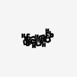 CC1C[C@@]2(C)[C@@H](CC[C@@H]3[C@@H]2CC[C@]2(C)C(=O)CC[C@@H]32)CC12OCCO2